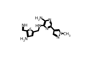 Cn1cc(-c2cnc(N)c(NCc3cc(N)c(C=N)s3)n2)cn1